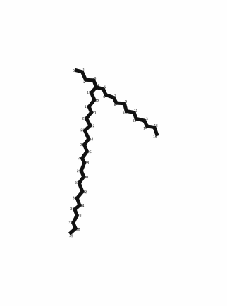 [CH2]CCCC(CCCCCCCCCCCC)CCCCCCCCCCCCCCCCCCCCCCC